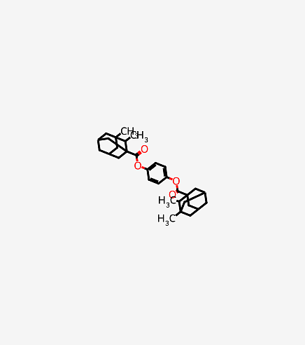 CC1C2(C)CC3CC(C2)CC1(C(=O)Oc1ccc(OC(=O)C24CC5CC(CC(C)(C5)C2C)C4)cc1)C3